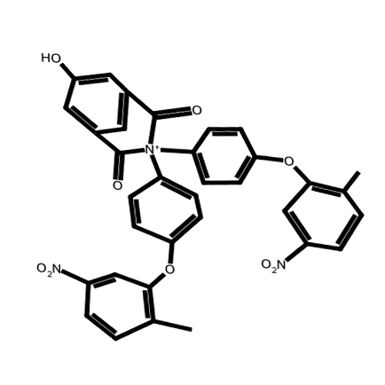 Cc1ccc([N+](=O)[O-])cc1Oc1ccc([N+]2(c3ccc(Oc4cc([N+](=O)[O-])ccc4C)cc3)C(=O)c3cc(O)cc(c3)C2=O)cc1